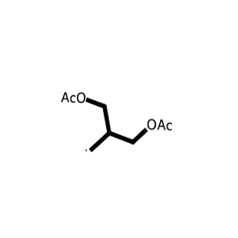 [CH2]C(COC(C)=O)COC(C)=O